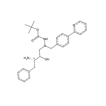 CC(C)(C)OC(=O)NN(Cc1ccc(-c2ccccn2)cc1)CC(O)[C@@H](N)Cc1ccccc1